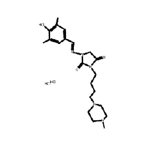 Cc1cc(/C=N/N2CC(=O)N(CCCCN3CCN(C)CC3)C2=O)cc(C)c1O.Cl.Cl